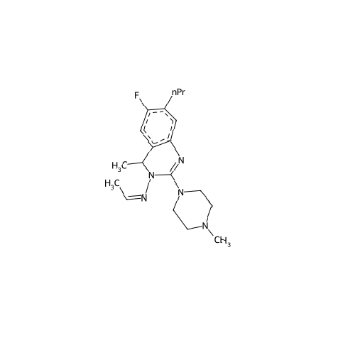 C/C=N\N1C(N2CCN(C)CC2)=Nc2cc(CCC)c(F)cc2C1C